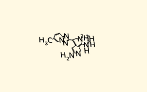 [2H]C([2H])([2H])Nc1ncc(-c2nc3ccc(C)cn3n2)c2cc(N)ncc12